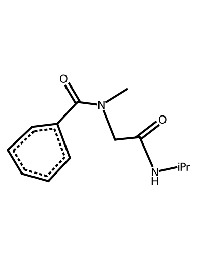 CC(C)NC(=O)CN(C)C(=O)c1ccccc1